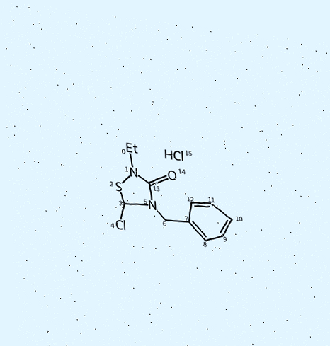 CCN1SC(Cl)N(Cc2ccccc2)C1=O.Cl